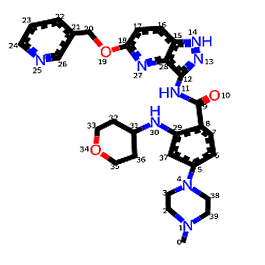 CN1CCN(c2ccc(C(=O)Nc3n[nH]c4ccc(OCc5cccnc5)nc34)c(NC3CCOCC3)c2)CC1